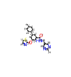 Cc1ccc(-c2cc(Oc3nccs3)cc(C(=O)NCc3cnc(C)nc3)c2)cc1